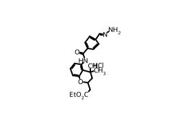 CCOC(=O)CC1CC(C)(C)c2c(NC(=O)c3ccc(C=NN)cc3)cccc2O1.Cl